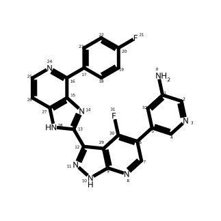 Nc1cncc(-c2cnc3[nH]nc(-c4nc5c(-c6ccc(F)cc6)nccc5[nH]4)c3c2F)c1